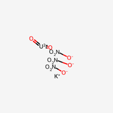 O=[N+]([O-])[O-].O=[N+]([O-])[O-].O=[N+]([O-])[O-].[K+].[O]=[U+2]=[O]